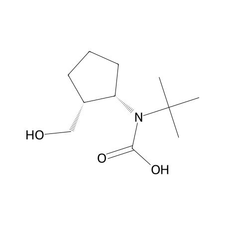 CC(C)(C)N(C(=O)O)[C@H]1CCC[C@H]1CO